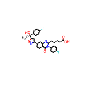 C[C@@](O)(c1ccc(F)cc1)c1cc(-c2ccc3c(=O)n(-c4ccc(F)cc4)c(CCCCC(=O)O)nc3c2)no1